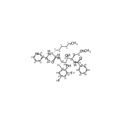 CCCCCC[C@@H](NC(=O)c1cccnc1)C(=O)N[C@@H](Cc1cc(F)cc(F)c1)[C@@H](O)[C@H](O)[C@@H](CCOC)NC(=O)c1ccccc1